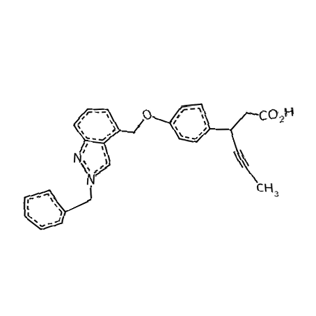 CC#CC(CC(=O)O)c1ccc(OCc2cccc3nn(Cc4ccccc4)cc23)cc1